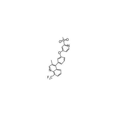 Cc1cnc2c(C(F)(F)F)cccc2c1-c1cccc(Oc2ccnc(S(C)(=O)=O)c2)c1